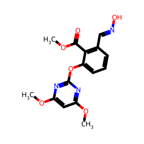 COC(=O)c1c(C=NO)cccc1Oc1nc(OC)cc(OC)n1